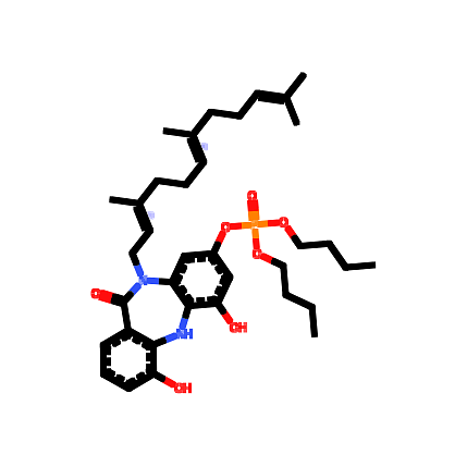 CCCCOP(=O)(OCCCC)Oc1cc(O)c2c(c1)N(C/C=C(\C)CC/C=C(\C)CCC=C(C)C)C(=O)c1cccc(O)c1N2